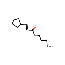 CCCCCCC(=O)C=CC1CCCC1